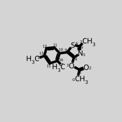 CC(=O)Oc1nc(C)sc1-c1ccc(C)cc1C